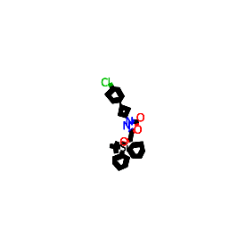 CC(C)(C)[Si](OCc1nn([C@H]2C[C@H](c3ccc(Cl)cc3)C2)c(=O)o1)(c1ccccc1)c1ccccc1